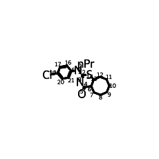 CCCN(C1=NC(=O)C2CCCCCCC2S1)c1ccc(Cl)cc1